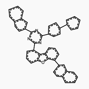 c1ccc(-c2ccc(-c3nc(-c4ccc5ccccc5c4)nc(-c4cccc5oc6c(-c7ccc8ccccc8c7)cccc6c45)n3)cc2)cc1